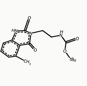 Cc1cccc2[nH]c(=O)n(CCNC(=O)OC(C)(C)C)c(=O)c12